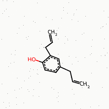 C=C[CH]c1cc(CC=C)ccc1O